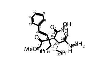 COCC(=O)C(/C=C/c1ccccc1)(CC(C)C)[C@@H](C(=O)NO)[C@@H](CC(C)C)C(=O)NN